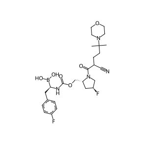 CC(C)(CCC(C#N)C(=O)N1C[C@@H](F)C[C@@H]1COC(=O)N[C@@H](Cc1ccc(F)cc1)B(O)O)N1CCOCC1